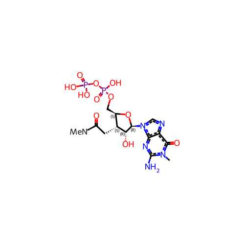 CNC(=O)C[C@H]1[C@@H](O)[C@H](n2cnc3c(=O)n(C)c(N)nc32)O[C@@H]1COP(=O)(O)OP(=O)(O)O